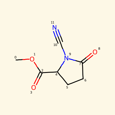 COC(=O)C1CCC(=O)N1C#N